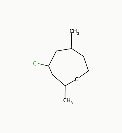 CC1CCCC(C)CC(Cl)C1